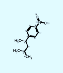 C[C](C)C[C@@H](C)c1ccc([N+](=O)[O-])cc1